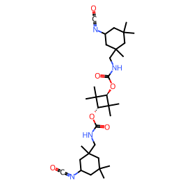 CC1(C)CC(N=C=O)CC(C)(CNC(=O)O[C@H]2C(C)(C)[C@H](OC(=O)NCC3(C)CC(N=C=O)CC(C)(C)C3)C2(C)C)C1